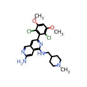 COc1cc(OC)c(Cl)c(-c2cc3cnc(N)cc3c(NCC3CCN(C)CC3)n2)c1Cl